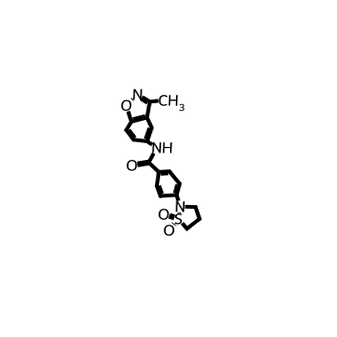 Cc1noc2ccc(NC(=O)c3ccc(N4CCCS4(=O)=O)cc3)cc12